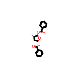 C[C@H]1C[C@@H](OC(=O)c2ccccc2)O[C@H]1OC(=O)c1ccccc1